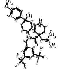 COc1ccc(C2(O)CCC(N(Cc3cc(C(F)(F)F)cc(C(F)(F)F)c3)C(=O)C3(CC(C)C)CCNCC3)CC2)cn1